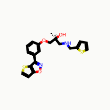 C[C@](O)(CNCc1cccs1)COc1cccc(-c2noc3ccsc23)c1